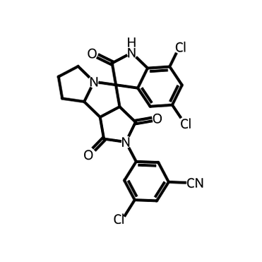 N#Cc1cc(Cl)cc(N2C(=O)C3C4CCCN4C4(C(=O)Nc5c(Cl)cc(Cl)cc54)C3C2=O)c1